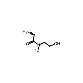 [2H]N(CCO)C(=O)C=C